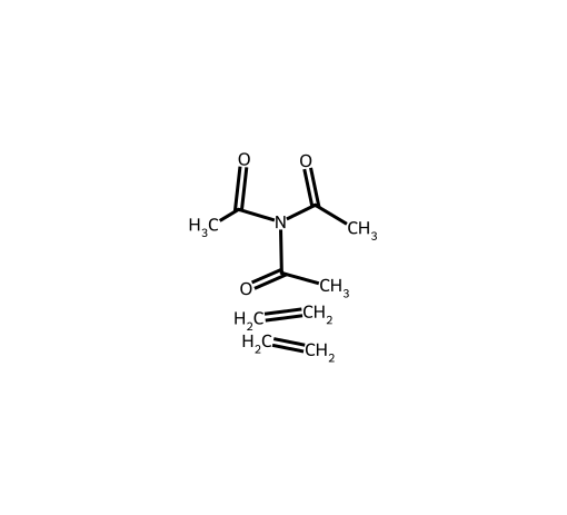 C=C.C=C.CC(=O)N(C(C)=O)C(C)=O